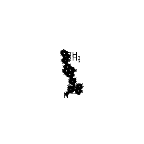 CC1(C)c2ccccc2-c2ccc(-c3cc4ccc5cc(-c6ccc(N(c7ccc(C#N)cc7)c7cccc8ccccc78)cc6)cc6ccc(c3)c4c56)cc21